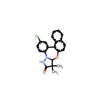 CC1(C)C(=O)NN2c3ccc(Cl)cc3-c3c(ccc4ccccc34)OC21